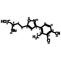 Cc1c(-c2cc(CCN(C(=O)O)C(C)(C)C)on2)ccc(C#N)c1Cl